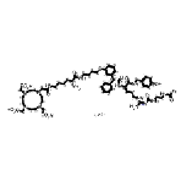 CCC(=O)NCCNC(=O)/N=C(/N)NCCCC(NC(=O)[C@H](c1ccccc1)c1cccc(OCCCCNC(=O)[C@H](N)CCCCNC(=O)CN2CCN(CC(=O)O)CCN(CC(=O)O)CCN(CC(=O)O)CC2)c1)C(=O)NCc1ccc(O)cc1.[In+3]